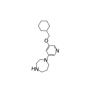 c1ncc(N2CCCNCC2)cc1OCC1CCCCC1